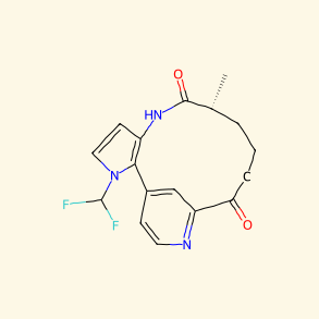 C[C@@H]1CCCC(=O)c2cc(ccn2)-c2c(ccn2C(F)F)NC1=O